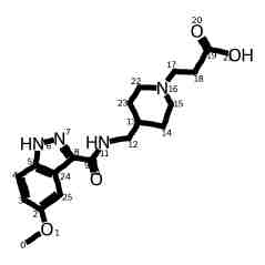 COc1ccc2[nH]nc(C(=O)NCC3CCN(CCC(=O)O)CC3)c2c1